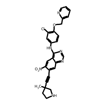 CC1(C#Cc2cc3ncnc(Nc4ccc(OCc5ccccn5)c(Cl)c4)c3cc2[N+](=O)[O-])CCNC1